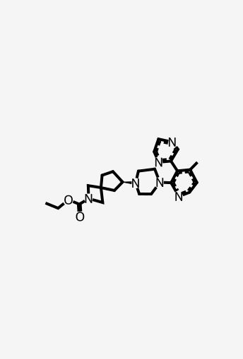 CCOC(=O)N1CC2(CC[C@@H](N3CCN(c4nccc(C)c4-c4cnccn4)CC3)C2)C1